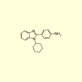 Nc1ccc(-c2nc3ccccc3n2C2CCCCC2)cc1